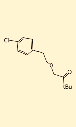 CC(C)(C)C(=O)COCCc1ccc(Cl)cc1